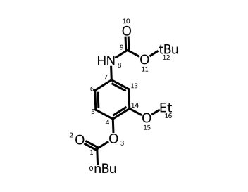 CCCCC(=O)Oc1ccc(NC(=O)OC(C)(C)C)cc1OCC